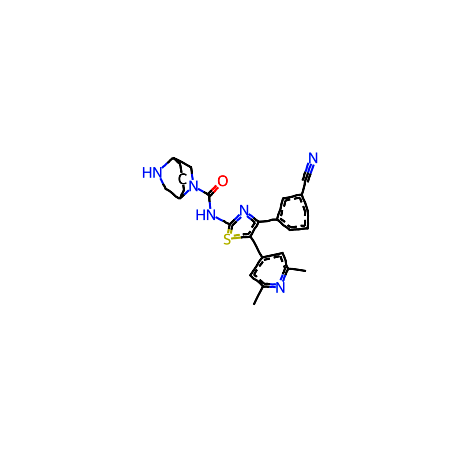 Cc1cc(-c2sc(NC(=O)N3CC4CCCC3CN4)nc2-c2cccc(C#N)c2)cc(C)n1